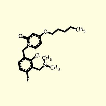 CCCCCOc1ccn(Cc2ccc(F)c(CN(C)C)c2Cl)c(=O)c1